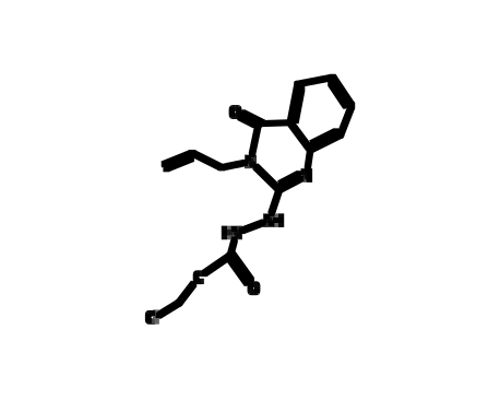 C=CCn1c(NNC(=O)CCCl)nc2ccccc2c1=O